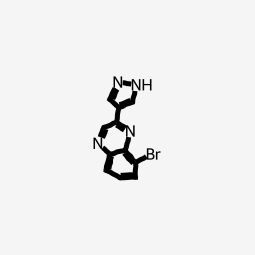 Brc1cccc2ncc(-c3cn[nH]c3)nc12